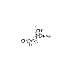 CN[C@@H]1CCN(C(=O)N2CC[C@@H](Cn3ccc(-c4ccccc4)cc3=O)C3(CCCC3)C2)[C@H](c2ccc(F)cc2F)C1